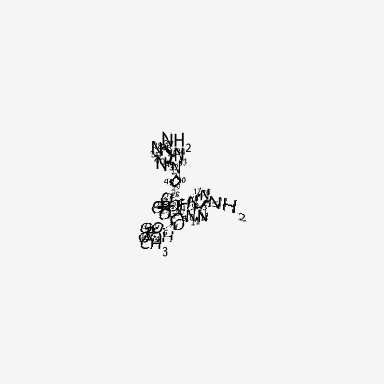 COP(=O)(O)OC[C@H]1O[C@@H](n2cnc3c(N)ncnc32)[C@H](F)[C@@H]1OP(=O)(O)OC[C@H]1C[C@@H](n2cnc3c(N)ncnc32)C1